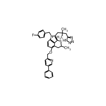 CC1Cc2c(OCc3ccc(-c4ccccc4)cn3)ccc3c2c(c(CC(C)(C)Cc2nnn[nH]2)n3Cc2ccc(F)cc2)S1